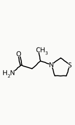 CC(CC(N)=O)N1CCSC1